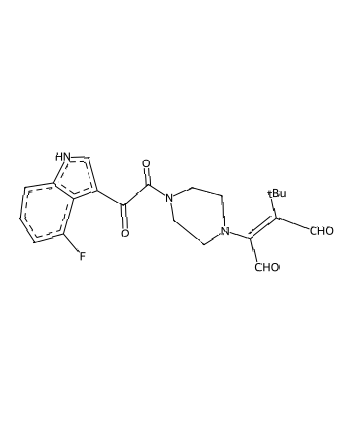 CC(C)(C)/C(C=O)=C(/C=O)N1CCN(C(=O)C(=O)c2c[nH]c3cccc(F)c23)CC1